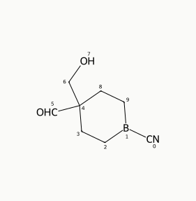 N#CB1CCC(C=O)(CO)CC1